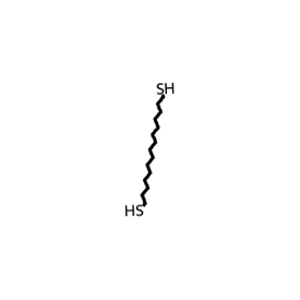 SCCCCCCCCCCCCCCCS